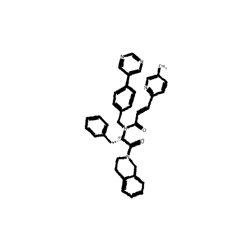 Cc1ccc(C=CC(=O)N(Cc2ccc(-c3cncnc3)cc2)[C@@H](Cc2ccccc2)C(=O)N2CCc3ccccc3C2)nc1